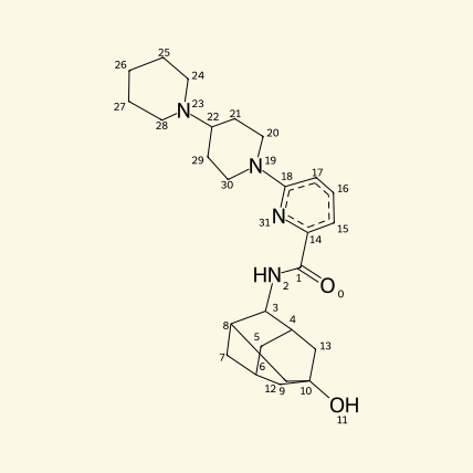 O=C(NC1C2CC3CC1CC(O)(C3)C2)c1cccc(N2CCC(N3CCCCC3)CC2)n1